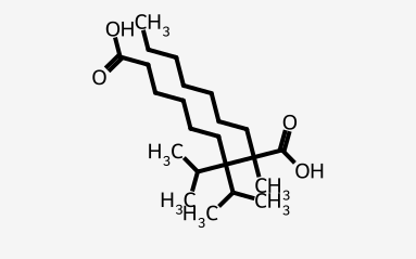 CCCCCCCC(C)(C(=O)O)C(CCCCCC(=O)O)(C(C)C)C(C)C